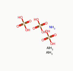 N.O=S(=O)(O)O.O=S(=O)(O)O.O=S(=O)(O)O.[AlH3].[AlH3]